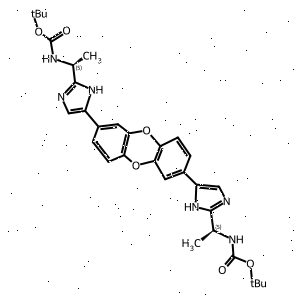 C[C@H](NC(=O)OC(C)(C)C)c1ncc(-c2ccc3c(c2)Oc2ccc(-c4cnc([C@H](C)NC(=O)OC(C)(C)C)[nH]4)cc2O3)[nH]1